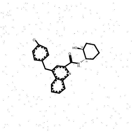 O=C(N[C@H]1CCCC[C@@H]1O)c1cc(Cc2ccc(Cl)cc2)c2ccccc2n1